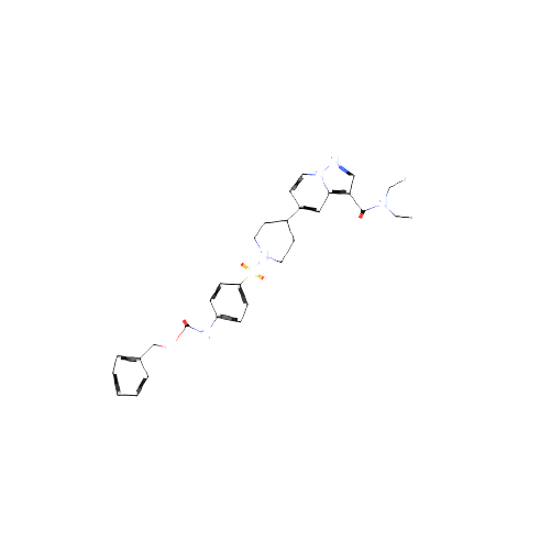 CCN(CC)C(=O)c1cnn2ccc(C3CCN(S(=O)(=O)c4ccc(NC(=O)OCc5ccccc5)cc4)CC3)cc12